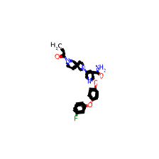 C=CC(=O)N1CCC2(CCN(c3cnc(Oc4ccc(Oc5cccc(F)c5)cc4)c(C(N)=O)c3)C2)C1